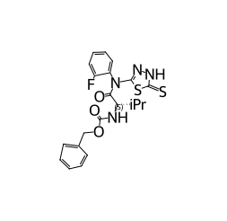 CC(C)[C@H](NC(=O)OCc1ccccc1)C(=O)N(c1n[nH]c(=S)s1)c1ccccc1F